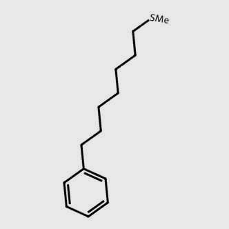 CSCCCCCCCc1ccccc1